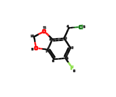 Fc1cc(CCl)c2c(c1)OCO2